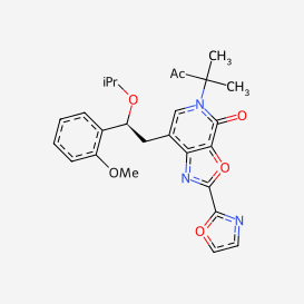 COc1ccccc1[C@H](Cc1cn(C(C)(C)C(C)=O)c(=O)c2oc(-c3ncco3)nc12)OC(C)C